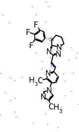 Cc1cn(-c2ccc(/C=C/c3nc4n(n3)CCC[C@H]4c3cc(F)c(F)c(F)c3)nc2C)cn1